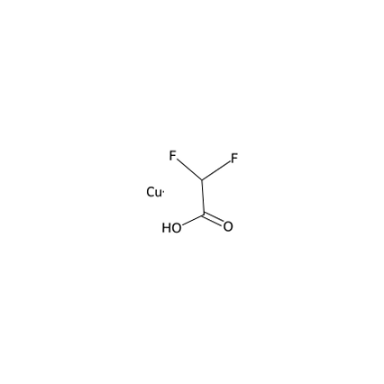 O=C(O)C(F)F.[Cu]